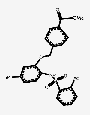 COC(=O)c1ccc(COc2cc(C(C)C)ccc2NS(=O)(=O)c2ccccc2C(C)=O)cc1